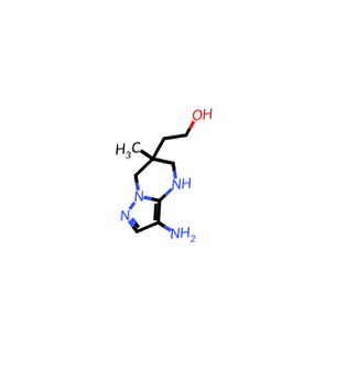 CC1(CCO)CNc2c(N)cnn2C1